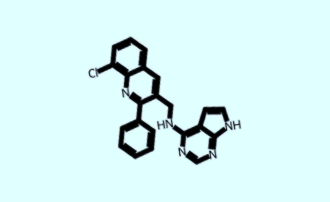 Clc1cccc2cc(CNc3ncnc4[nH]ccc34)c(-c3ccccc3)nc12